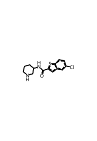 O=C(NC1CCCNC1)c1cc2cc(Cl)ccc2s1